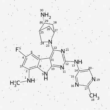 CNc1cc(F)cc2c1[nH]c1nc(Nc3cnc(C)nc3)nc(N3CC4CC3C[C@H]4N)c12